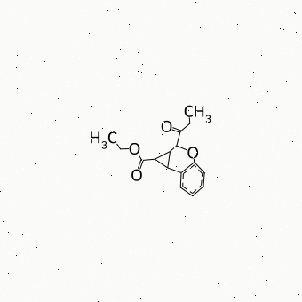 CCOC(=O)C1C2c3ccccc3OC(C(=O)CC)C12